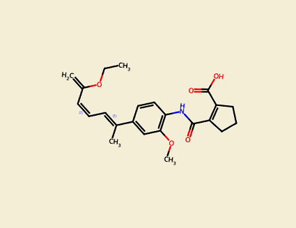 C=C(/C=C\C=C(/C)c1ccc(NC(=O)C2=C(C(=O)O)CCC2)c(OC)c1)OCC